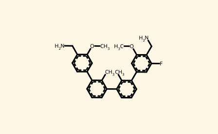 COc1cc(-c2cccc(-c3cccc(-c4cc(F)c(CN)c(OC)c4)c3C)c2C)ccc1CN